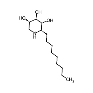 CCCCCCCCC[C@H]1NC[C@@H](O)[C@@H](O)C1O